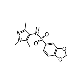 Cc1nn(C)c(C)c1NS(=O)(=O)c1ccc2c(c1)OCO2